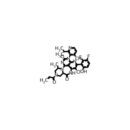 C=CC(=O)N1CC(C)N2c3nc(=O)n(-c4c(C)ccnc4C(C)C)c4nc(-c5c(O)ccc(F)c5F)c(Cl)c(c34)NC(=O)C2C1